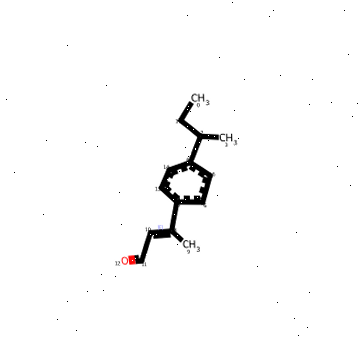 CCC(C)c1ccc(/C(C)=C/C=O)cc1